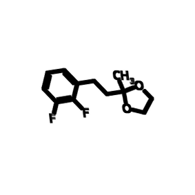 CC1(CCc2cccc(F)c2F)OCCO1